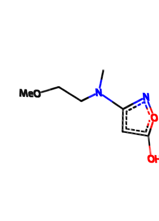 COCCN(C)c1cc(O)on1